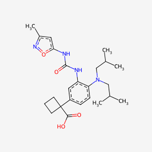 Cc1cc(NC(=O)Nc2cc(C3(C(=O)O)CCC3)ccc2N(CC(C)C)CC(C)C)on1